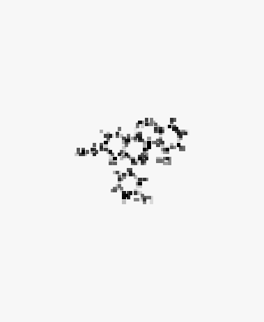 CSc1ncc2c(=O)n(-c3c(Cl)cccc3Cl)nc(-c3ccnc(Cl)c3)c2n1